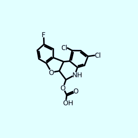 O=C(O)OC1Nc2cc(Cl)cc(Cl)c2C2c3cc(F)ccc3OC12